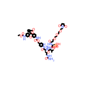 CCOC(=O)Nc1ccc2c(c1)Oc1cc(NC(=O)OCc3ccc(NC(=O)[C@H](CCCNC(N)=O)NC(=O)[C@@H](NC(=O)[C@H](CP(=O)(O)O)NC(=O)CCOCCOCCOCCN4C(=O)C=CC4=O)C(C)C)cc3)ccc1C21OC(=O)c2ccccc21